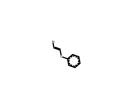 CC(=O)C=COc1ccccc1